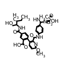 CCC(C)C(CO)NC(=O)c1ccc(-c2ccc(OC)nc2C(=O)Nc2ccc(C(=N)N)cc2)c(C(=O)O)c1.CS(=O)(=O)O